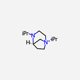 CC(C)N1CC[N@@+]2(C(C)C)CC[C@@H]1C2